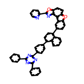 c1ccc(-c2nc(-c3ccccc3)nc(-c3ccc(-c4ccc(-c5ccc6oc7ccc8oc(-c9ccccn9)nc8c7c6c5)c5ccccc45)cc3)n2)cc1